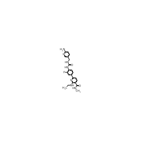 CCNc1nc(-c2ccc(NC(=O)NCc3ccc(N)nc3)c(F)c2)ccc1C(=O)NC